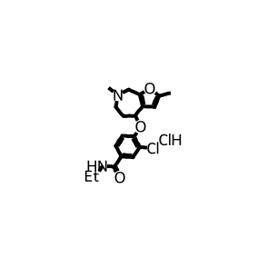 CCNC(=O)c1ccc(OC2CCN(C)Cc3oc(C)cc32)c(Cl)c1.Cl